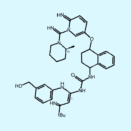 C[C@H]1CCCCN1C(=N)n1cc(OC2CCC(NC(=O)N/C(=C/C(=N)C(C)(C)C)Nc3cccc(CO)c3)c3ccccc32)ccc1=N